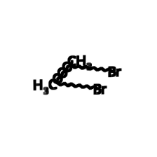 CC(CCC=CCCCCCCBr)OCOCOC(C)CCC=CCCCCCCBr